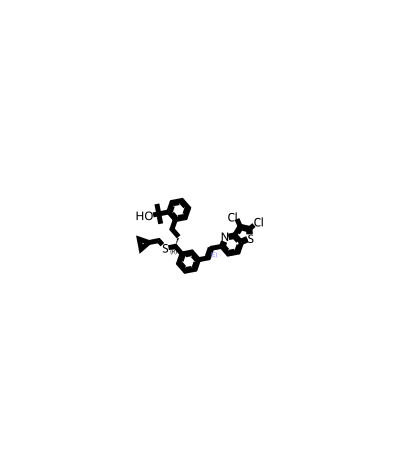 CC(C)(O)c1ccccc1CC[C@@H](SCC1CC1)c1cccc(/C=C/c2ccc3sc(Cl)c(Cl)c3n2)c1